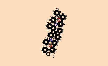 Cc1ccccc1-c1cccc2c1oc1c(N(c3ccccc3)c3ccc4c(c3)C(c3ccccc3)(c3ccccc3)c3cc(N(c5ccccc5)c5cccc6c5oc5c(-c7ccccc7C)cccc56)c5ccccc5c3-4)cccc12